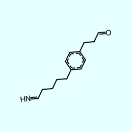 N=CCCCCc1ccc(CCC=O)cc1